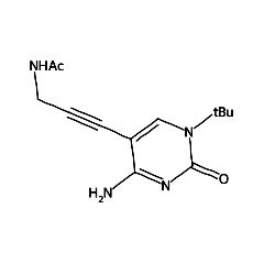 CC(=O)NCC#Cc1cn(C(C)(C)C)c(=O)nc1N